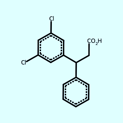 O=C(O)CC(c1ccccc1)c1cc(Cl)cc(Cl)c1